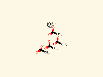 CC(=O)[O-].CC(=O)[O-].CC(=O)[O-].CC(=O)[O-].[Mg+2].[Mn+2]